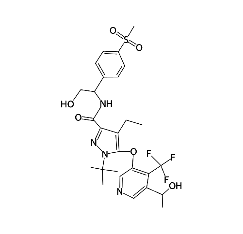 CCc1c(C(=O)NC(CO)c2ccc(S(C)(=O)=O)cc2)nn(C(C)(C)C)c1Oc1cncc(C(C)O)c1C(F)(F)F